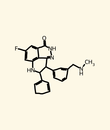 CNCc1cccc(C2c3n[nH]c(=O)c4cc(F)cc(c34)NC2C2=CCCC=C2)c1